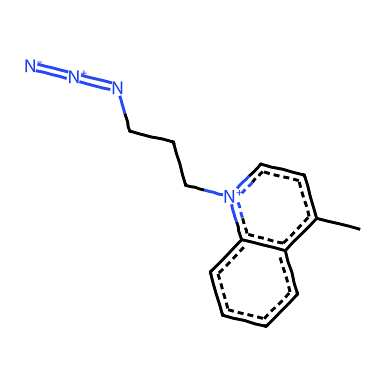 Cc1cc[n+](CCCN=[N+]=[N-])c2ccccc12